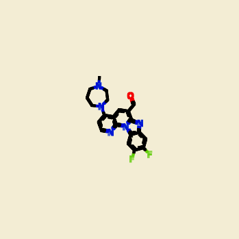 CN1CCCN(c2ccnc3c2cc(C=O)c2nc4cc(F)c(F)cc4n23)CC1